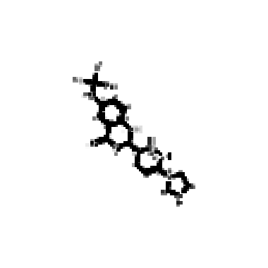 O=C1OC(C2CC=C(N3CCNC3)NN2)Nc2ccc(OC(F)(F)F)cc21